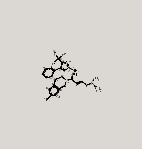 CN(C)C/C=C/C(=N)N1Cc2sc(Cl)cc2[C@H](c2ccccc2-c2cn(N)nc2C(F)(F)I)C1